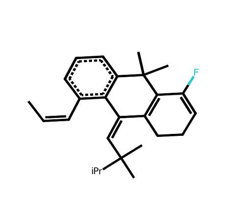 C/C=C\c1cccc2c1/C(=C/C(C)(C)C(C)C)C1=C(C(F)=CCC1)C2(C)C